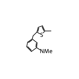 CNc1cccc(Cc2ccc(C)s2)c1